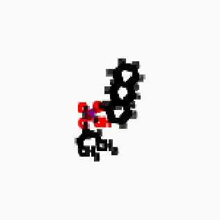 CCC(CC)OP(=O)(O)Oc1cccc2cc3ccccc3cc12